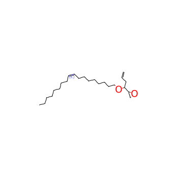 C=CCC(OCCCCCCCC/C=C\CCCCCCCC)C1CO1